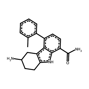 Cc1ccccc1-c1ccc(C(N)=O)c2[nH]c3c(c12)CC(N)CC3